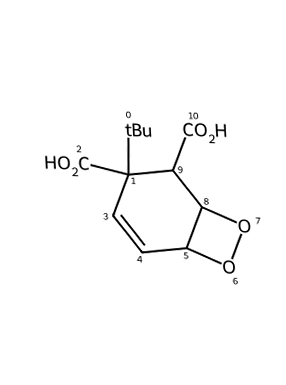 CC(C)(C)C1(C(=O)O)C=CC2OOC2C1C(=O)O